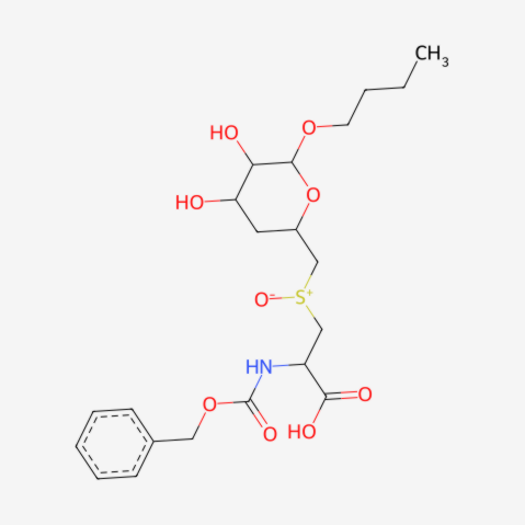 CCCCOC1OC(C[S+]([O-])CC(NC(=O)OCc2ccccc2)C(=O)O)CC(O)C1O